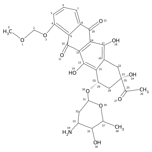 COCOc1cccc2c1C(=O)c1c(O)c3c(c(O)c1C2=O)C[C@@](O)(C(C)=O)C[C@@H]3OC1CC(N)C(O)C(C)O1